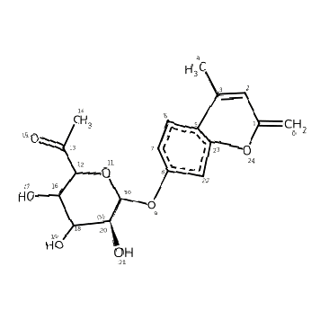 C=C1C=C(C)c2ccc(OC3OC(C(C)=O)C(O)C(O)[C@@H]3O)cc2O1